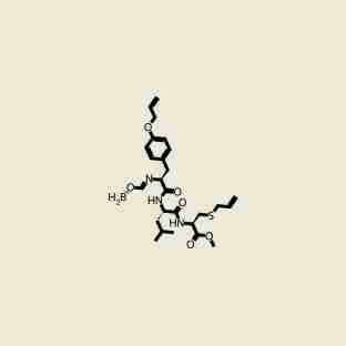 BOC=N[C@@H](Cc1ccc(OCC=C)cc1)C(=O)N[C@@H](CC(C)C)C(=O)N[C@@H](CSCC=C)C(=O)OC